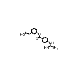 N=C(N)Nc1ccc(C(=O)Oc2cccc(C=NO)c2)cc1